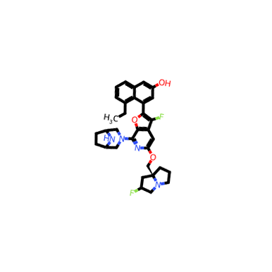 CCc1cccc2cc(O)cc(-c3oc4c(N5CC6CCC(C5)N6)nc(OC[C@@]56CCCN5CC(F)C6)cc4c3F)c12